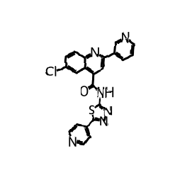 O=C(Nc1nnc(-c2ccncc2)s1)c1cc(-c2cccnc2)nc2ccc(Cl)cc12